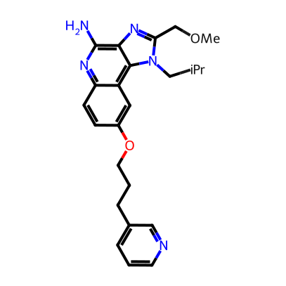 COCc1nc2c(N)nc3ccc(OCCCc4cccnc4)cc3c2n1CC(C)C